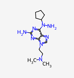 CN(C)CCn1cnc2c(N(N)C3CCCC3)nc(N)nc21